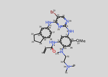 C=CC(=O)Nc1cc(Nc2ncc(Br)c(Nc3ccc4c(c3)CCC4)n2)c(OC)cc1N(C)CCN(C)C